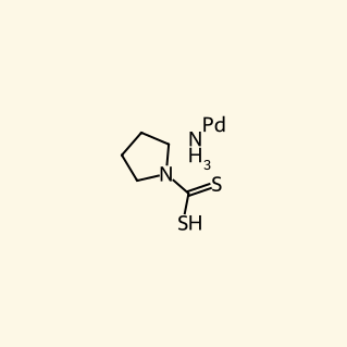 N.S=C(S)N1CCCC1.[Pd]